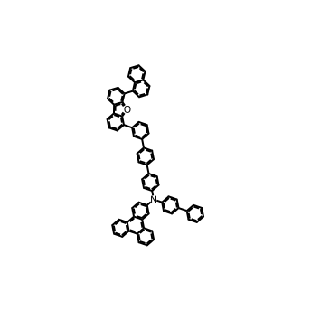 c1ccc(-c2ccc(N(c3ccc(-c4ccc(-c5cccc(-c6cccc7c6oc6c(-c8cccc9ccccc89)cccc67)c5)cc4)cc3)c3ccc4c5ccccc5c5ccccc5c4c3)cc2)cc1